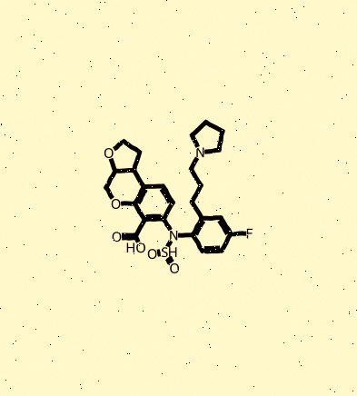 O=C(O)c1c(N(c2ccc(F)cc2CCCN2CCCC2)[SH](=O)=O)ccc2c1OCC1OCCC21